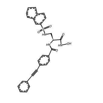 O=C(N[C@@H](CNS(=O)(=O)c1ccc2ccccc2c1)C(=O)NO)c1ccc(C#Cc2ccccc2)cc1